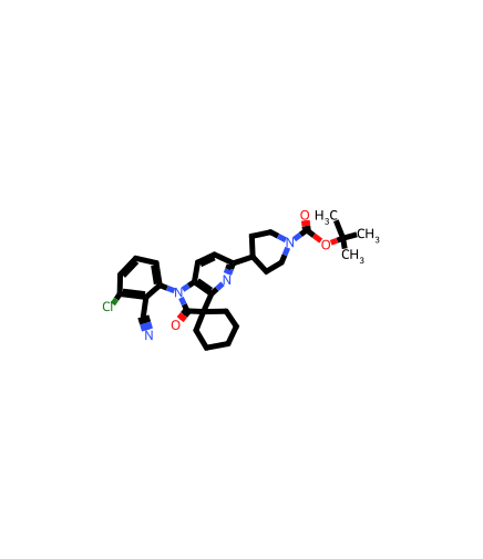 CC(C)(C)OC(=O)N1CCC(c2ccc3c(n2)C2(CCCCC2)C(=O)N3c2cccc(Cl)c2C#N)CC1